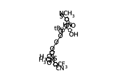 Cc1ncsc1-c1ccc(CNC(=O)[C@@H]2C[C@@H](O)CC2C(=O)[C@@H](CC(=O)COCCCOCCCOc2ccc(N3C(=S)N(c4ccc(C#N)c(C(F)(F)F)c4)C(=O)C3(C)C)cc2)C(C)(C)C)cc1